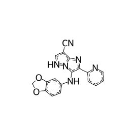 N#Cc1c[nH]n2c(Nc3ccc4c(c3)OCO4)c(-c3ccccn3)nc12